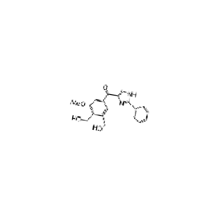 COc1cc(C(=O)c2c[nH]c(-c3ccccc3)n2)cc(CO)c1CO